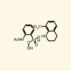 CC(=O)Nc1ccccc1[As](=O)(O)OO.O=C(O)c1cccc2c1NCCC2